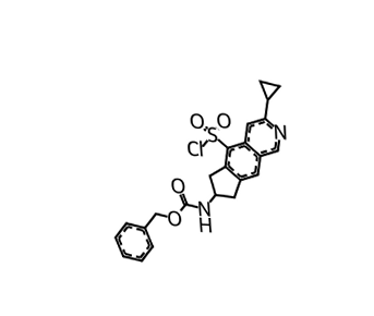 O=C(NC1Cc2cc3cnc(C4CC4)cc3c(S(=O)(=O)Cl)c2C1)OCc1ccccc1